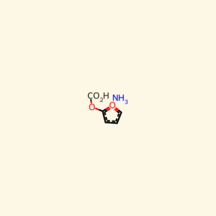 N.O=C(O)Oc1ccco1